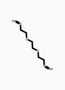 N=NCCOCCOCCN=N